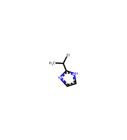 [CH2]CC(C)c1ncc[nH]1